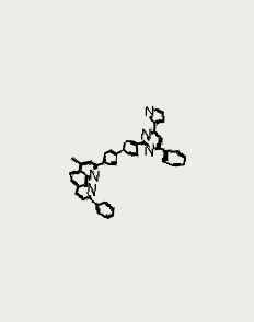 Cc1cc(-c2ccc(-c3ccc(-c4nc(-c5ccccc5)cc(-c5cccnc5)n4)cc3)cc2)nc2c1ccc1ccc(-c3ccccc3)nc12